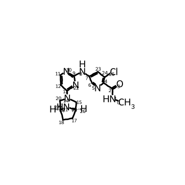 CNC(=O)c1ncc(Nc2nccc(N3C[C@H]4CC[C@@H](C3)N4)n2)cc1Cl